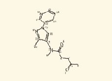 CC(=O)CCC(=O)N(C)c1cn(-c2cccnc2)nc1C